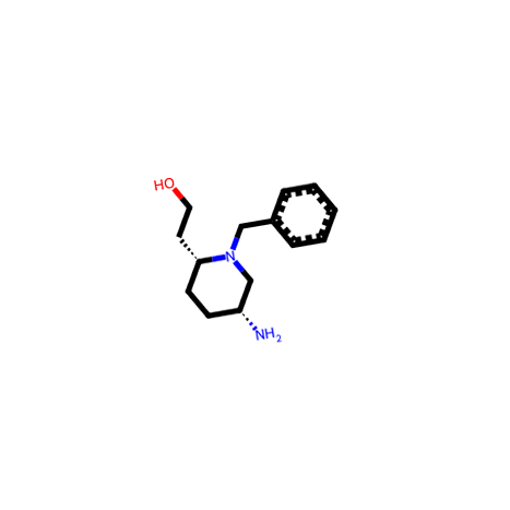 N[C@@H]1CC[C@H](CCO)N(Cc2ccccc2)C1